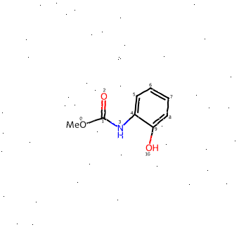 COC(=O)Nc1ccccc1O